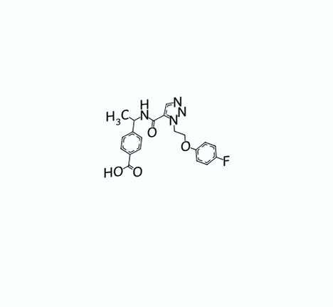 CC(NC(=O)c1cnnn1CCOc1ccc(F)cc1)c1ccc(C(=O)O)cc1